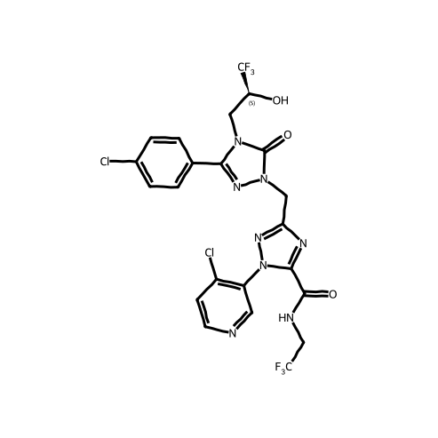 O=C(NCC(F)(F)F)c1nc(Cn2nc(-c3ccc(Cl)cc3)n(C[C@H](O)C(F)(F)F)c2=O)nn1-c1cnccc1Cl